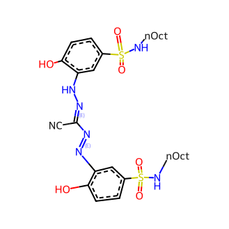 CCCCCCCCNS(=O)(=O)c1ccc(O)c(/N=N/C(C#N)=N/Nc2cc(S(=O)(=O)NCCCCCCCC)ccc2O)c1